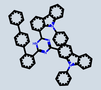 c1ccc(-c2ccc(-c3ccccc3C3=NC(c4ccc5c6ccccc6n(-c6ccccc6)c5c4)=NC(c4cccc5c6ccccc6n(-c6ccccc6)c45)N3)cc2)cc1